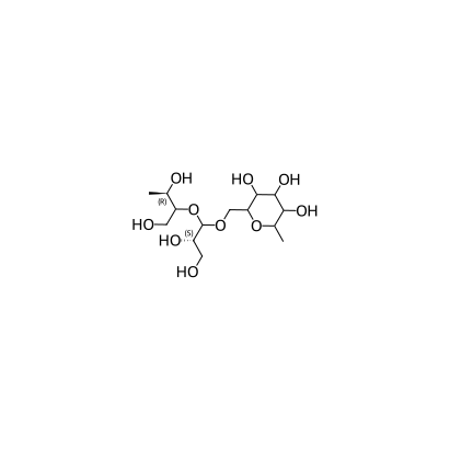 CC1OC(COC(OC(CO)[C@@H](C)O)[C@@H](O)CO)C(O)C(O)C1O